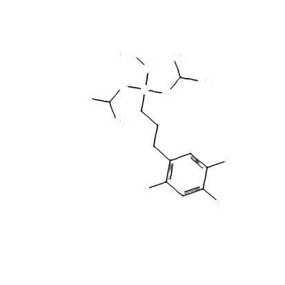 CO[Si](CCCc1cc(F)c(F)cc1F)(OC(C)C)OC(C)C